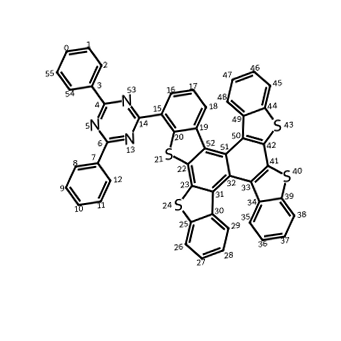 c1ccc(-c2nc(-c3ccccc3)nc(-c3cccc4c3sc3c5sc6ccccc6c5c5c6c7ccccc7sc6c6sc7ccccc7c6c5c43)n2)cc1